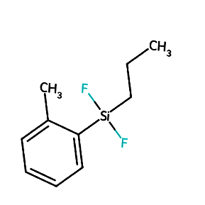 CCC[Si](F)(F)c1ccccc1C